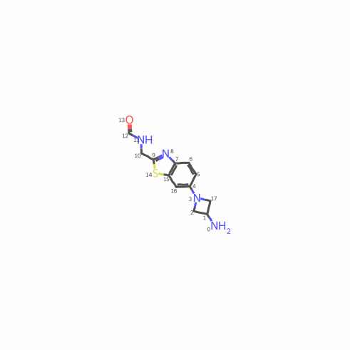 NC1CN(c2ccc3nc(CNC=O)sc3c2)C1